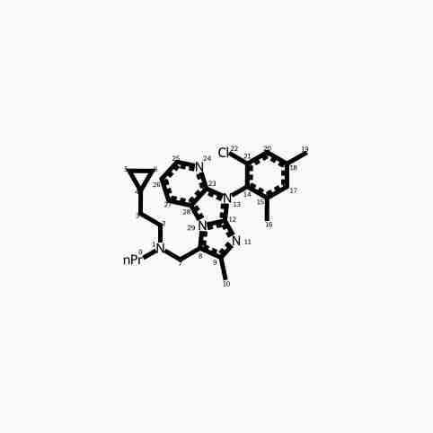 CCCN(CCC1CC1)Cc1c(C)nc2n(-c3c(C)cc(C)cc3Cl)c3ncccc3n12